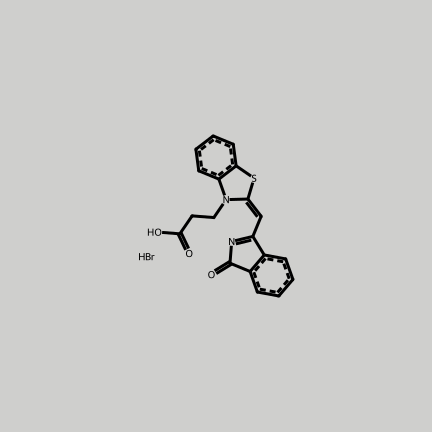 Br.O=C(O)CCN1C(=CC2=NC(=O)c3ccccc32)Sc2ccccc21